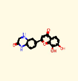 O=C1CNc2cc(-c3cc(=O)c4ccc(O)c(O)c4o3)ccc2N1